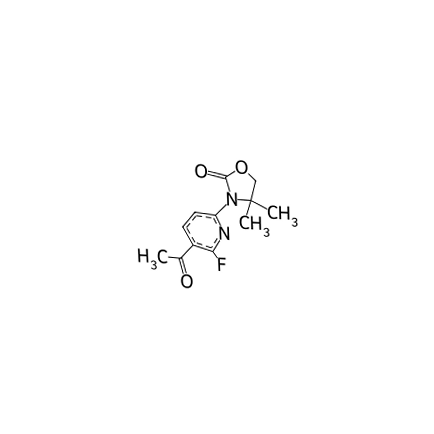 CC(=O)c1ccc(N2C(=O)OCC2(C)C)nc1F